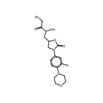 CC(C)CC(=O)N(O)CC1CN(c2ccc(N3CCOCC3)c(F)c2)C(=O)O1